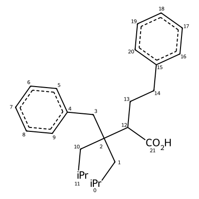 CC(C)CC(Cc1ccccc1)(CC(C)C)C(CCc1ccccc1)C(=O)O